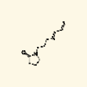 O=C1CCCN1CCCN=CC=S